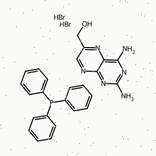 Br.Br.Nc1nc(N)c2nc(CO)cnc2n1.c1ccc(P(c2ccccc2)c2ccccc2)cc1